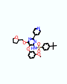 COc1cccc(Oc2c(NS(=O)(=O)c3ccc(C(C)(C)C)cc3)nc(-c3ccncc3)nc2OCC2CCCO2)c1